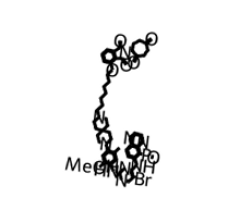 COc1cc(N2CCC3(CCN(CCCCCCCOc4cccc5c4C(=O)N(C4CCC(=O)CCC4=O)C5=O)CC3)CC2)c(C)cc1NC1N=CC(Br)=C(Nc2ccc3nccnc3c2P(C)(C)=O)N1